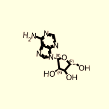 Nc1ncnc2c1ncn2[C@@H]1O[C@H](CO)C(O)[C@H]1O